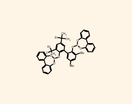 CCC(C)(C)c1cc(-c2cc(C(C)(C)C)cc(C(C)(C)C)c2Op2oc3ccccc3c3ccccc3o2)c(Op2oc3ccccc3c3ccccc3o2)c(C(C)(C)CC)c1